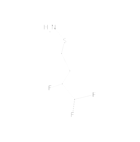 NSCCC(F)C(F)F